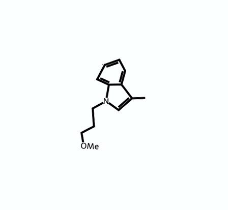 COCCCn1cc(C)c2cc[c]cc21